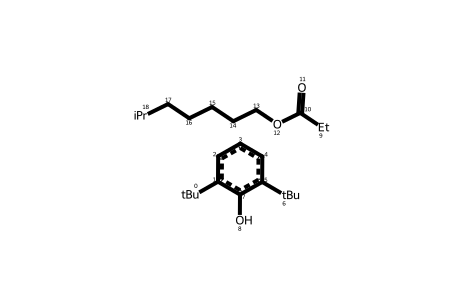 CC(C)(C)c1cccc(C(C)(C)C)c1O.CCC(=O)OCCCCCC(C)C